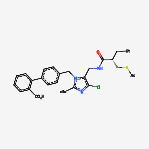 CCCCc1nc(Cl)c(CNC(=O)[C@@H](CSC(C)=O)CC(C)C)n1Cc1ccc(-c2ccccc2C(=O)O)cc1